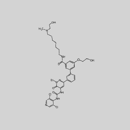 CCn1nc(-c2cccc(-c3cc(OCCO)cc(C(=O)NCCCCCCCN(C)CCO)c3)c2)cc(NC(=O)Nc2c(Cl)cncc2Cl)c1=O